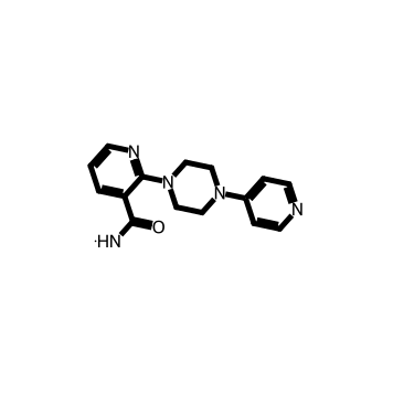 [NH]C(=O)c1cccnc1N1CCN(c2ccncc2)CC1